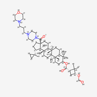 CC1([C@@H]2CC[C@]3(C(=O)N4CCN(CCCN5CCOCC5)CC4)CC[C@]4(C)[C@H](CC[C@@H]5[C@@]6(C)CC[C@H](OC(=O)[C@H]7C[C@@H](OC=O)C7(C)C)C(C)(C)[C@@H]6CC[C@]54C)[C@@H]23)CC1